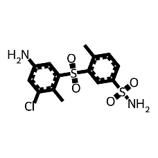 Cc1ccc(S(N)(=O)=O)cc1S(=O)(=O)c1cc(N)cc(Cl)c1C